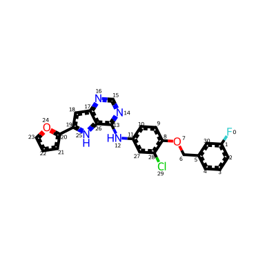 Fc1cccc(COc2ccc(Nc3ncnc4cc(-c5ccco5)[nH]c34)cc2Cl)c1